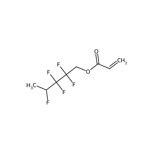 C=CC(=O)OCC(F)(F)C(F)(F)C(C)F